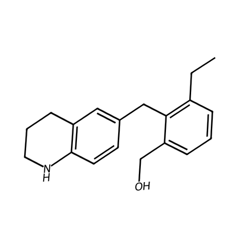 CCc1cccc(CO)c1Cc1ccc2c(c1)CCCN2